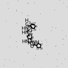 C[C@@H](NC(=O)Nc1cc2[nH]nc(NC(=O)C3CCCC3)c2cn1)c1ccccc1